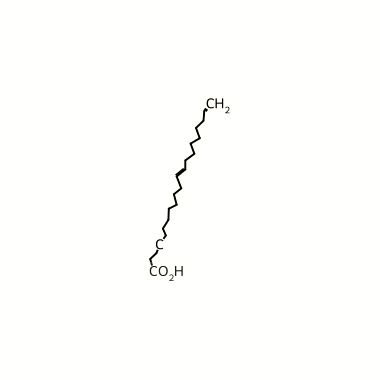 C=CCCCCCC/C=C/CCCCCCCCCCC(=O)O